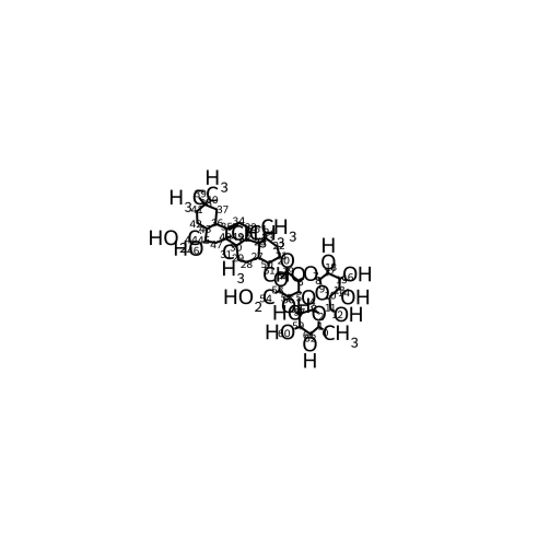 CC1O[C@@H](OC2C(O[C@@H]3OC(CO)[C@H](O)C(O)C3O)[C@H](O[C@H]3CC(C)C4(C)C(CCC5(C)C4CC=C4C6CC(C)(C)CC[C@]6(C(=O)O)C(O)CC45C)C3C=O)OC(C(=O)O)[C@H]2O)C(O)C(O)[C@H]1O